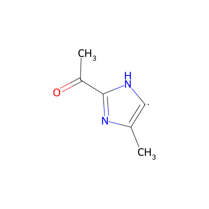 CC(=O)c1nc(C)[c][nH]1